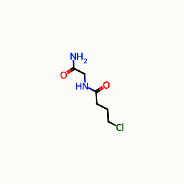 NC(=O)CNC(=O)CCCCl